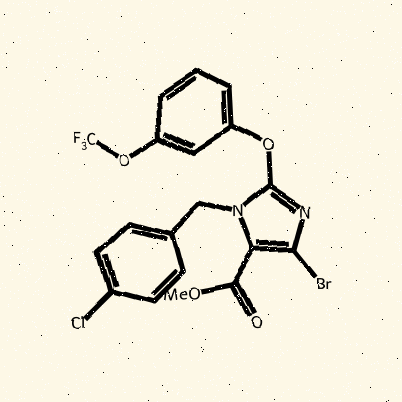 COC(=O)c1c(Br)nc(Oc2cccc(OC(F)(F)F)c2)n1Cc1ccc(Cl)cc1